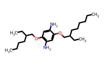 CCCCCCC(CC)COc1cc(N)c(OCC(CC)CCCC)cc1N